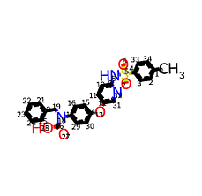 Cc1ccc(S(=O)(=O)Nc2ccc(Oc3ccc(N(Cc4ccccc4)C(=O)O)cc3)cn2)cc1